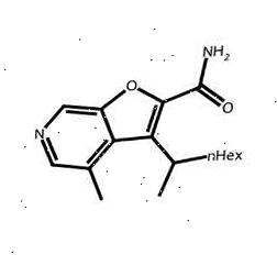 CCCCCCC(C)c1c(C(N)=O)oc2cncc(C)c12